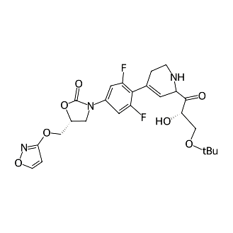 CC(C)(C)OC[C@H](O)C(=O)C1C=C(c2c(F)cc(N3C[C@H](COc4ccon4)OC3=O)cc2F)CCN1